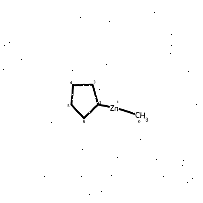 [CH3][Zn][CH]1CCCC1